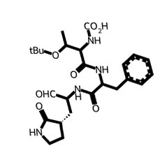 CC(OC(C)(C)C)C(NC(=O)O)C(=O)NC(Cc1ccccc1)C(=O)NC(C=O)C[C@@H]1CCNC1=O